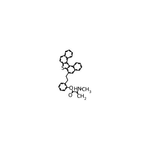 C=C(NC)C(=O)Oc1ccccc1CCc1cc2ccccc2c2c1sc1ccc3ccccc3c12